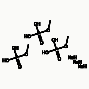 COP(=O)(O)O.COP(=O)(O)O.COP(=O)(O)O.[NaH].[NaH].[NaH]